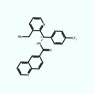 CC(C)(C)Cc1cccnc1[C@@H](NC(=O)c1ccc2ncccc2c1)c1ccc(C(F)(F)F)cc1